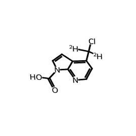 [2H]C([2H])(Cl)c1ccnc2c1ccn2C(=O)O